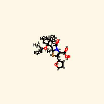 CC[C@](O[SiH](C)C)([C@@H]1C(=O)N2C(C(=O)O)=C([C@H]3CCCO3)S[C@@H]12)C(C)(C)C